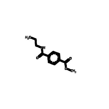 CCCNC(=O)c1ccc(C(=O)OC)cc1